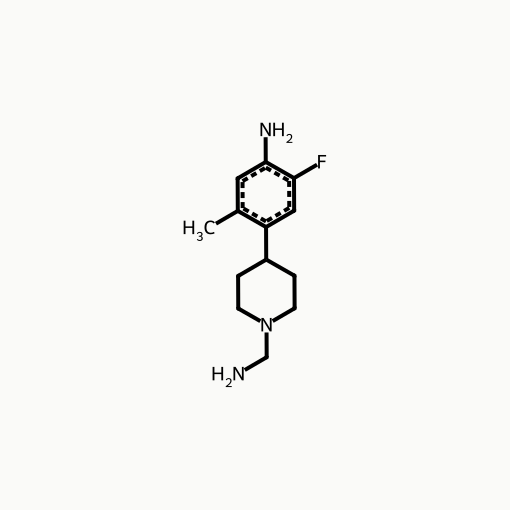 Cc1cc(N)c(F)cc1C1CCN(CN)CC1